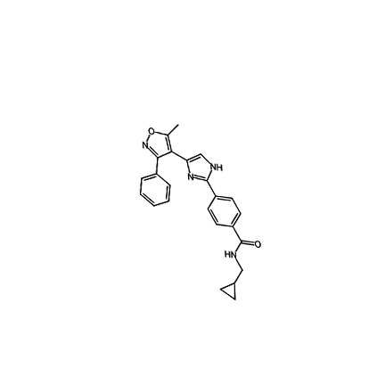 Cc1onc(-c2ccccc2)c1-c1c[nH]c(-c2ccc(C(=O)NCC3CC3)cc2)n1